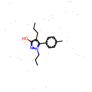 CCCc1c(O)nn(CCC)c1-c1ccc(C)cc1